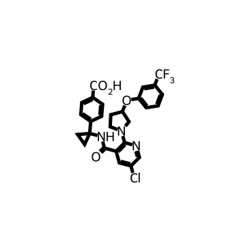 O=C(O)c1ccc(C2(NC(=O)c3cc(Cl)cnc3N3CCC(Oc4cccc(C(F)(F)F)c4)C3)CC2)cc1